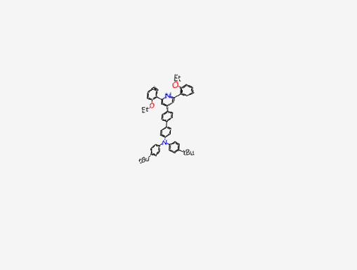 CCOc1ccccc1-c1cc(-c2ccc(-c3ccc(N(c4ccc(C(C)(C)C)cc4)c4ccc(C(C)(C)C)cc4)cc3)cc2)cc(-c2ccccc2OCC)n1